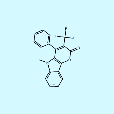 Cn1c2ccccc2c2oc(=O)c(C(F)(F)F)c(-c3ccccc3)c21